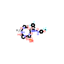 C[C@@H]1NC(O)[C@@H]2CCCCN2C(=O)[C@@H]2C[C@@H](OP(=O)(O)O)CN2C(=O)[C@@H](NC(=O)[C@H](Cc2cc(F)cc(F)c2)NC(=O)Nc2ccc(OC(F)(F)F)cc2)[C@H](C)OC(=O)[C@@H]2CCCN2C1=O